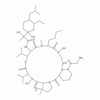 CCCCC1C(=O)N(O)CC(=O)N2C(CCCN2C(=O)CN)C(=O)N2CCC(C)(O)C2C(=O)N(O)C(C(C)C)C(=O)OC(C(C)C)C(NC(=O)C(C)(O)C2(O)CCC(CC(C)C)C(CC)O2)C(=O)N1C